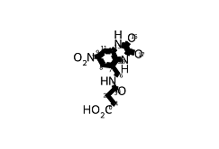 O=C(O)CCC(=O)NCc1cc([N+](=O)[O-])cc2[nH]c(=O)c(=O)[nH]c12